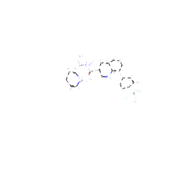 CC(NC(=O)c1cnc2c(-c3ccc(C(F)(F)F)cc3)cccc2c1)c1ccccn1